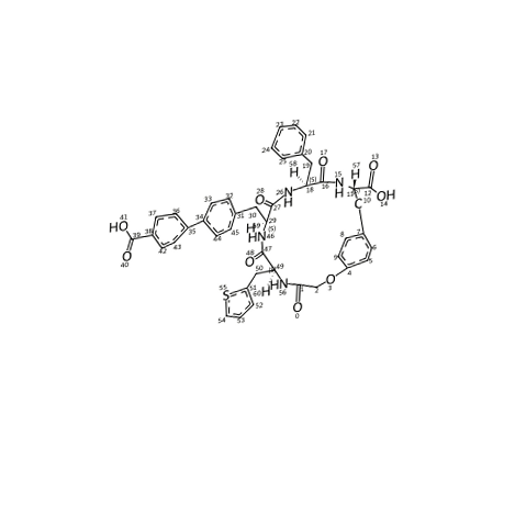 O=C1COc2ccc(cc2)C[C@@H](C(=O)O)NC(=O)[C@H](Cc2ccccc2)NC(=O)[C@H](Cc2ccc(-c3ccc(C(=O)O)cc3)cc2)NC(=O)[C@H](Cc2cccs2)N1